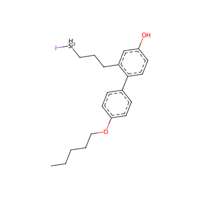 CCCCCOc1ccc(-c2ccc(O)cc2CCC[SiH2]I)cc1